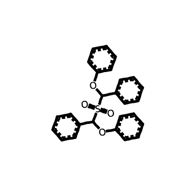 O=S(=O)(C(Oc1ccccc1)c1ccccc1)C(Oc1ccccc1)c1ccccc1